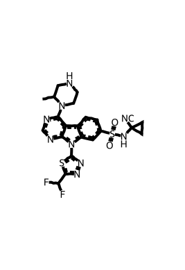 CC1CNCCN1c1ncnc2c1c1ccc(S(=O)(=O)NC3(C#N)CC3)cc1n2-c1nnc(C(F)F)s1